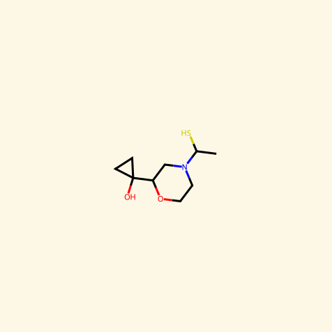 CC(S)N1CCOC(C2(O)CC2)C1